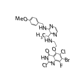 COc1ccc(CNc2nccnc2C(C)NCCOc2c(Cl)c(Br)c(F)c3nc(Cl)[nH]c(=O)c23)cc1